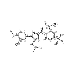 COc1ccc(-c2nc(Nc3ncc(C(F)(F)F)cc3C(=O)O)sc2CC(C)C)cc1Cl